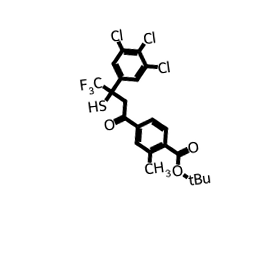 Cc1cc(C(=O)CC(S)(c2cc(Cl)c(Cl)c(Cl)c2)C(F)(F)F)ccc1C(=O)OC(C)(C)C